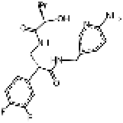 CC(C)[C@@H](O)C(=O)NC[C@H](C(=O)NCc1ccc(N)nc1)c1ccc(F)c(F)c1